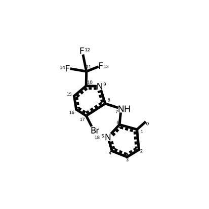 Cc1cccnc1Nc1nc(C(F)(F)F)ccc1Br